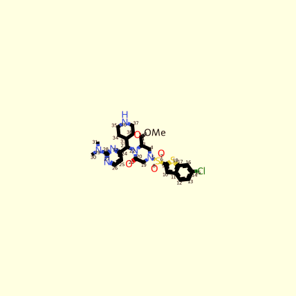 COC(=O)C1CN(S(=O)(=O)c2cc3ccc(Cl)cc3s2)CC(=O)N1C(c1ccnc(N(C)C)n1)C1CCNCC1